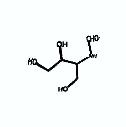 O=[C]NC(CO)C(O)CO